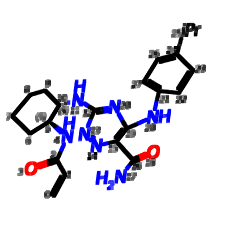 C=CC(=O)N[C@H]1CCCC[C@@H]1Nc1nnc(C(N)=O)c(Nc2ccc(C(C)C)cc2)n1